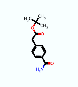 CC(C)(C)OC(=O)Cc1ccc(C(N)=O)cc1